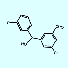 O=Cc1cc(Br)cc(C(O)c2cccc(F)c2)c1